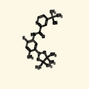 Cc1cc(F)c(NC(=O)c2cc(C(C)(C)C#N)ccn2)cc1B1OC(C)(C)C(C)(C)O1